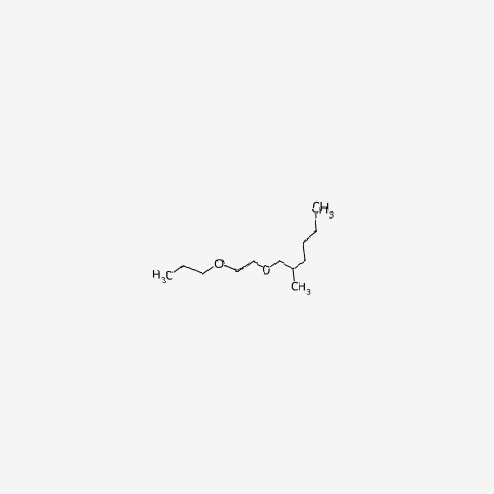 CCCCC(C)COCCOCCC